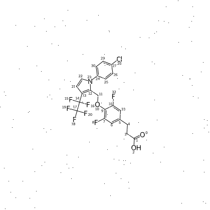 O=C(O)CCc1cc(F)c(OCc2c(C(F)(F)C(F)(F)F)ccn2-c2ccc(Cl)cc2)c(F)c1